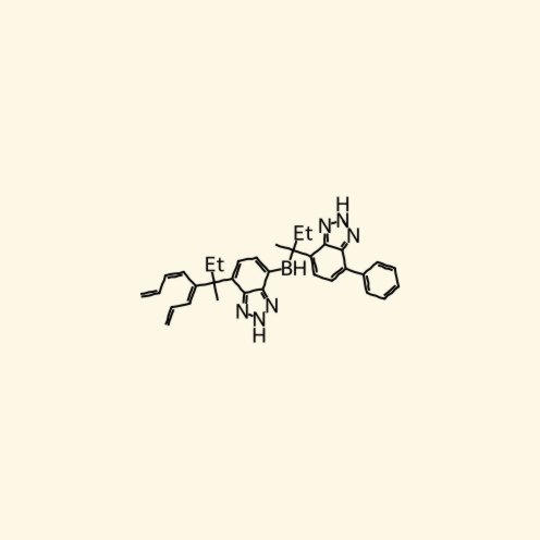 C=C/C=C\C(=C/C=C)C(C)(CC)c1ccc(BC(C)(CC)c2ccc(-c3ccccc3)c3n[nH]nc23)c2n[nH]nc12